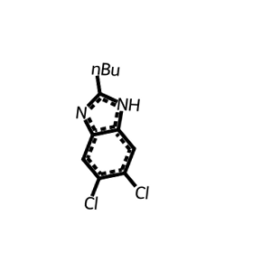 CCCCc1nc2cc(Cl)c(Cl)cc2[nH]1